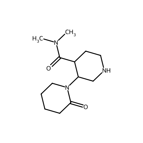 CN(C)C(=O)C1CCNCC1N1CCCCC1=O